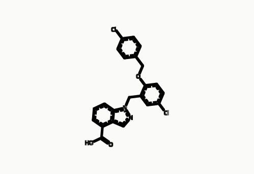 O=C(O)c1cccc2c1cnn2Cc1cc(Cl)ccc1OCc1ccc(Cl)cc1